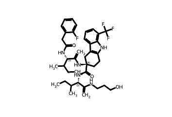 C=C(N[C@]1(C(=O)N[C@H](C(=C)NCCCO)C(C)CC)CCc2[nH]c3c(C(F)(F)F)cccc3c2C1)[C@@H](NC(=O)Cc1ccccc1F)C(C)CC